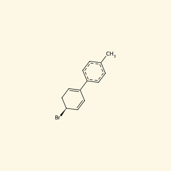 Cc1ccc(C2=CC[C@H](Br)C=C2)cc1